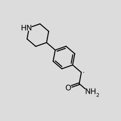 NC(=O)[CH]c1ccc(C2CCNCC2)cc1